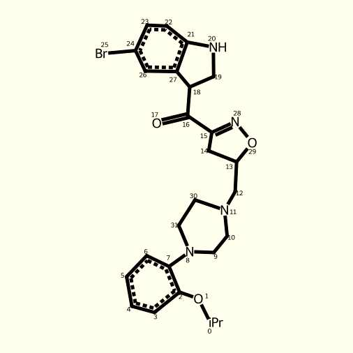 CC(C)Oc1ccccc1N1CCN(CC2CC(C(=O)C3CNc4ccc(Br)cc43)=NO2)CC1